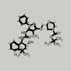 Cc1c(OC[C@H]2CN(C(=O)OC(C)(C)C)CCO2)nn(-c2ccccc2)c1NC(=O)NC1c2ccccc2C(C)(C)C[C@H]1O